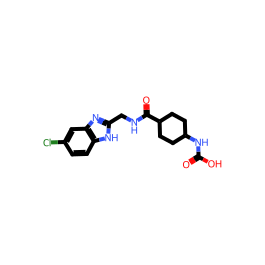 O=C(O)NC1CCC(C(=O)NCc2nc3cc(Cl)ccc3[nH]2)CC1